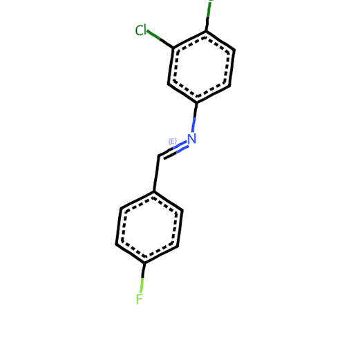 Fc1ccc(/C=N/c2ccc(Cl)c(Cl)c2)cc1